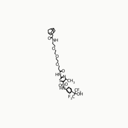 Cc1nc(NC(=O)CCOCCOCCOCCNC(=O)CC2C3CC4CC(C3)C2C4)sc1S(=O)(=O)Nc1ccc(C(O)(C(F)(F)F)C(F)(F)F)cc1